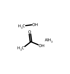 CC(=O)O.CO.[AlH3]